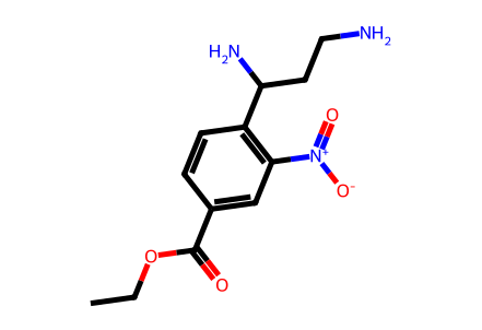 CCOC(=O)c1ccc(C(N)CCN)c([N+](=O)[O-])c1